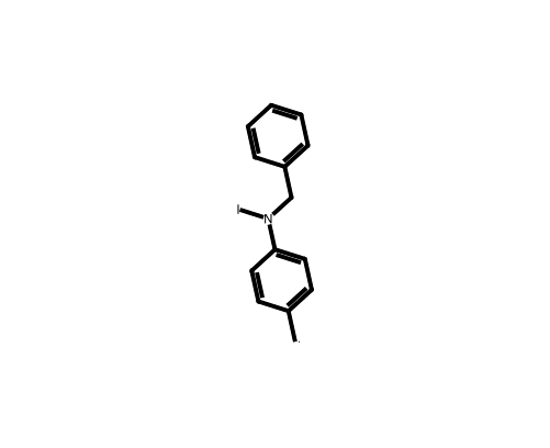 [CH2]c1ccc(N(I)Cc2ccccc2)cc1